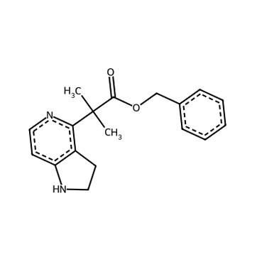 CC(C)(C(=O)OCc1ccccc1)c1nccc2c1CCN2